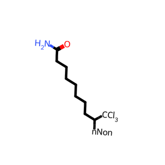 CCCCCCCCCC(CCCCCCCC(N)=O)C(Cl)(Cl)Cl